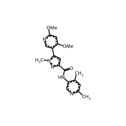 COc1cc(OC)c(-c2cc(C(=O)Nc3cnc(C)cc3C)nn2C)cn1